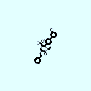 CCOC(=O)[C@H](CCc1ccccc1)C[C@@H](Cc1ccc(-c2cccc(Cl)c2)cc1)C(=O)O